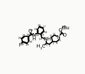 CC(CC1CCN(C(=O)OC(C)(C)C)CC1)NCc1ccccc1NC(=O)c1ccc(F)cc1